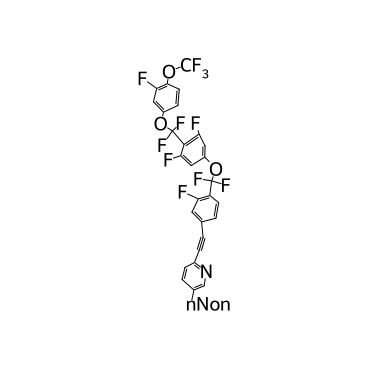 CCCCCCCCCc1ccc(C#Cc2ccc(C(F)(F)Oc3cc(F)c(C(F)(F)Oc4ccc(OC(F)(F)F)c(F)c4)c(F)c3)c(F)c2)nc1